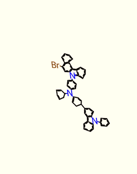 Brc1cc2c(c3ccccc13)c1ccccc1n2-c1ccc(N(C2=CCC(c3ccc4c(c3)c3ccccc3n4-c3ccccc3)C=C2)C2C=CC=CC2)cc1